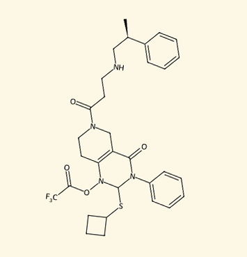 C[C@H](CNCCC(=O)N1CCC2=C(C1)C(=O)N(c1ccccc1)C(SC1CCC1)N2OC(=O)C(F)(F)F)c1ccccc1